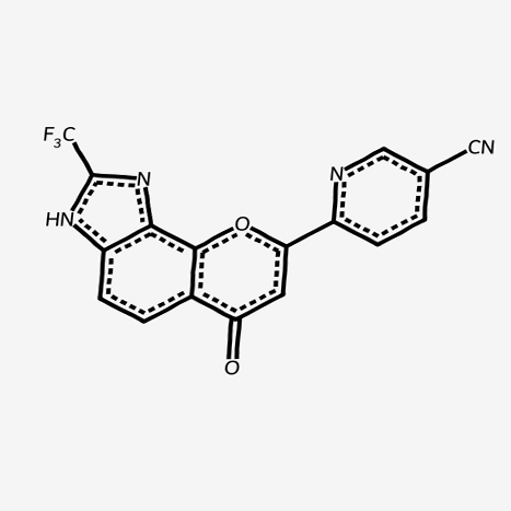 N#Cc1ccc(-c2cc(=O)c3ccc4[nH]c(C(F)(F)F)nc4c3o2)nc1